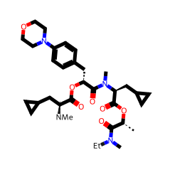 CCN(C)C(=O)[C@@H](C)OC(=O)[C@H](CC1CC1)N(C)C(=O)[C@@H](Cc1ccc(N2CCOCC2)cc1)OC(=O)[C@H](CC1CC1)NC